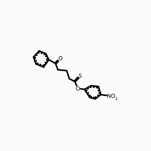 O=C(CCCC(=S)Oc1ccc([N+](=O)[O-])cc1)c1ccccc1